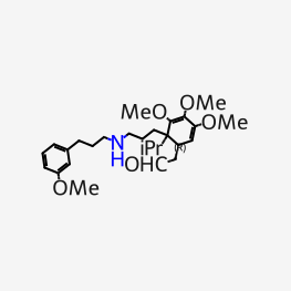 COC1=C[C@@H](CC=O)C(CCCNCCCc2cccc(OC)c2)(C(C)C)C(OC)=C1OC